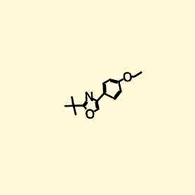 CCOc1ccc(-c2coc(C(C)(C)C)n2)cc1